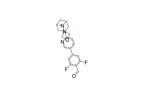 O=Cc1c(F)cc(-c2ccc(N3CC4CC(C3)N4C3COC3)nc2)cc1F